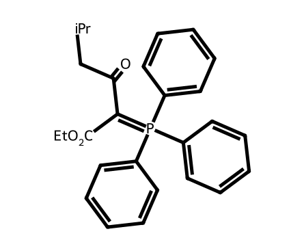 CCOC(=O)C(C(=O)CC(C)C)=P(c1ccccc1)(c1ccccc1)c1ccccc1